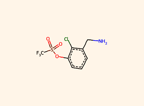 NCc1cccc(OS(=O)(=O)C(F)(F)F)c1Cl